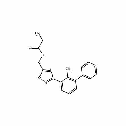 Cc1c(-c2ccccc2)cccc1-c1noc(COC(=O)CN)n1